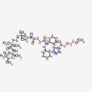 COCCOCC(O)n1nnc2c1-c1ccccc1N(C(=O)CCC(=O)NCCC(C)(C)OCCC(C)(C)C(=O)NC(C)(C)CC(C)C)Cc1ccccc1-2